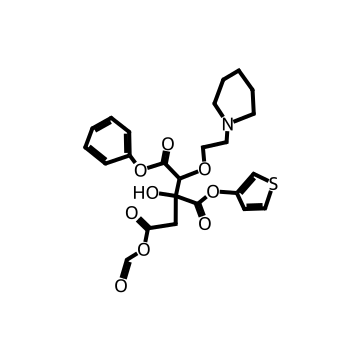 O=COC(=O)CC(O)(C(=O)Oc1ccsc1)C(OCCN1CCCCC1)C(=O)Oc1ccccc1